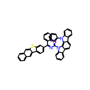 c1ccc(-n2c3ccccc3c3ccc4c5ccccc5n(-c5nc(-c6ccc7c(c6)sc6cc8ccccc8cc67)c6ccccc6n5)c4c32)cc1